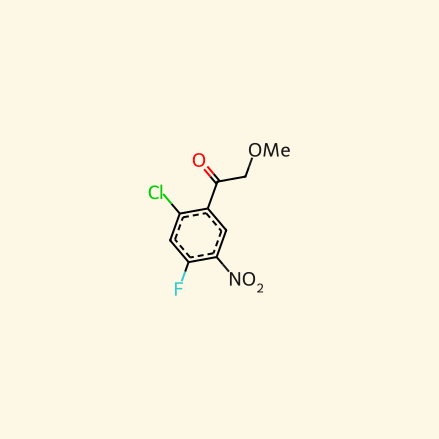 COCC(=O)c1cc([N+](=O)[O-])c(F)cc1Cl